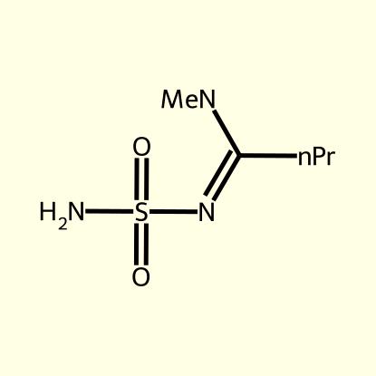 CCC/C(=N/S(N)(=O)=O)NC